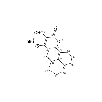 CCCCSc1c(C=O)c(=O)oc2c3c4c(cc12)CCCN4CCC3